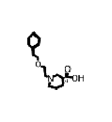 O=C(O)[C@H]1CCCN(CCOCCc2ccccc2)C1